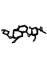 CNc1cc(F)c(Oc2ccnc3cc(OC4CNC4)c(OC)cc23)c(F)c1